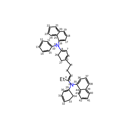 CC/C(=C\CCC1=CC=C(N(c2ccccc2)c2cccc3ccccc23)CC1)N(C1=CC=CCC1)c1cccc2ccccc12